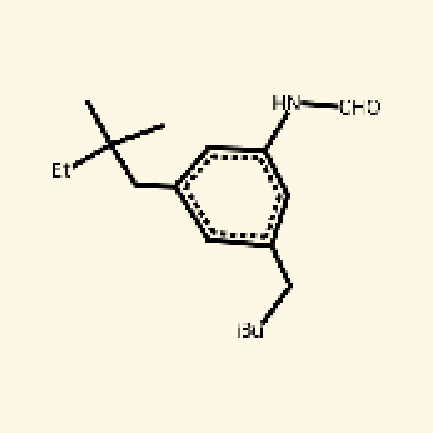 CCC(C)Cc1cc(CC(C)(C)CC)cc(NC=O)c1